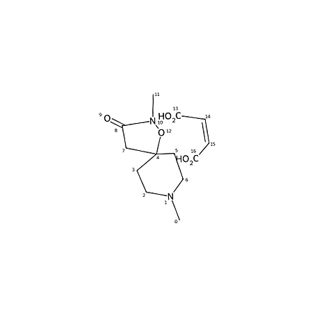 CN1CCC2(CC1)CC(=O)N(C)O2.O=C(O)/C=C\C(=O)O